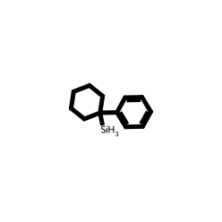 [SiH3]C1(c2ccccc2)CCCCC1